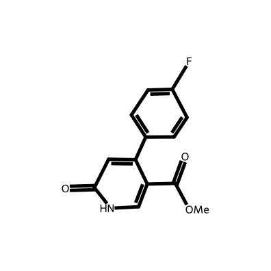 COC(=O)c1c[nH]c(=O)cc1-c1ccc(F)cc1